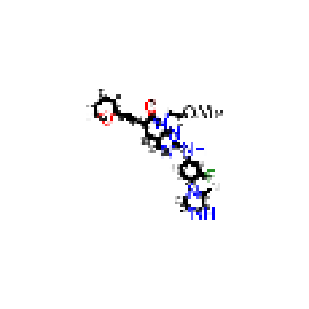 COCCn1c(=O)c(C#CC2CCCCO2)cc2cnc(Nc3ccc(N4CCNCC4C)c(F)c3)nc21